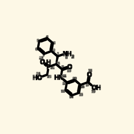 NC(c1ccccc1)[C@@H](C(=O)Nc1cccc(C(=O)O)c1)[PH](=O)CO